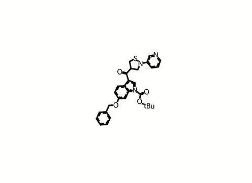 CC(C)(C)OC(=O)n1cc(C(=O)C2CSN(c3cccnc3)C2)c2ccc(OCc3ccccc3)cc21